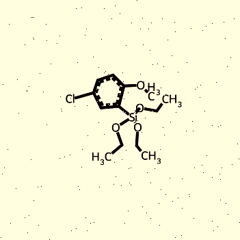 CCO[Si](OCC)(OCC)c1cc(Cl)ccc1OC